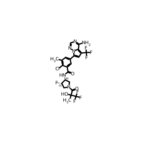 Cc1cc(-c2cc(C(F)(F)F)c3c(N)ncnn23)cc(C(=O)N[C@@H]2CN(C(=O)C(C)(O)C(F)(F)F)C[C@@H]2F)c1Cl